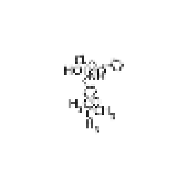 CC(C)(C)Oc1ccc(C[C@H](NC(=O)OCc2ccccc2)[C@H](O)CCl)cc1